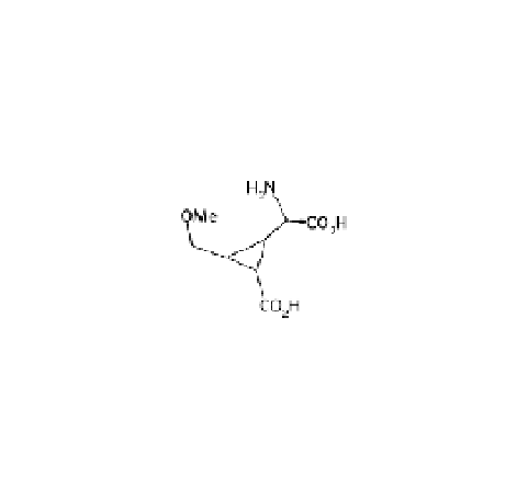 COCC1C(C(=O)O)C1[C@@H](N)C(=O)O